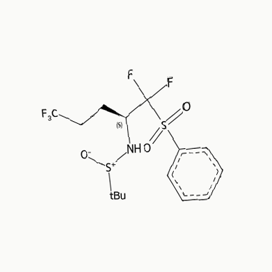 CC(C)(C)[S+]([O-])N[C@@H](CCC(F)(F)F)C(F)(F)S(=O)(=O)c1ccccc1